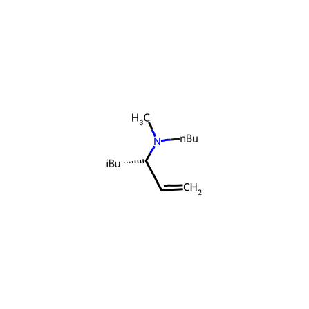 C=CC([C@@H](C)CC)N(C)CCCC